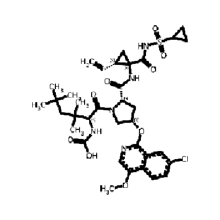 C=C[C@@H]1C[C@]1(NC(=O)[C@@H]1C[C@@H](Oc2ncc(OC)c3ccc(Cl)cc23)CN1C(=O)[C@@H](NC(=O)O)C(C)(C)CC(C)(C)C)C(=O)NS(=O)(=O)C1CC1